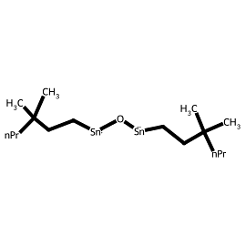 CCCC(C)(C)C[CH2][Sn][O][Sn][CH2]CC(C)(C)CCC